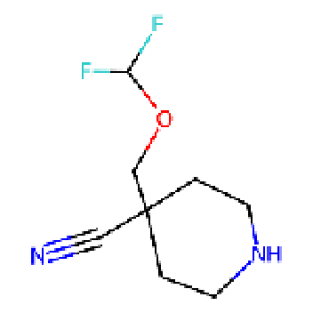 N#CC1(COC(F)F)CCNCC1